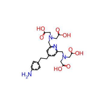 Nc1ccc(CCc2cc(CN(CC(=O)O)CC(=O)O)nc(CN(CC(=O)O)CC(=O)O)c2)cc1